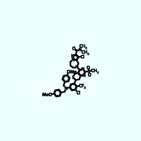 COc1ccc(CN(Cc2ccc(OC)cc2)c2cc(Cl)c(C(F)(F)F)c(C3Cc4nc(S(C)(=O)=O)nc(N5CCCn6nc(C(=O)N(C)C)c(Cl)c6C5)c4CS3)c2)cc1